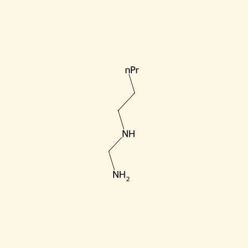 [CH2]CCCCNCN